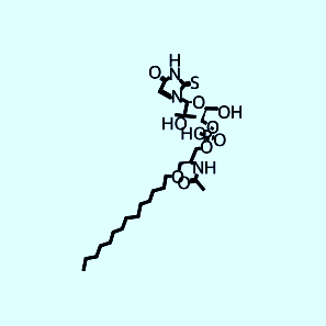 CCCCCCCCCCCCCCOC[C@@H](COP(=O)(O)OC[C@H](CO)O[C@@H](n1ccc(=O)[nH]c1=S)C(C)(C)O)NC(C)=O